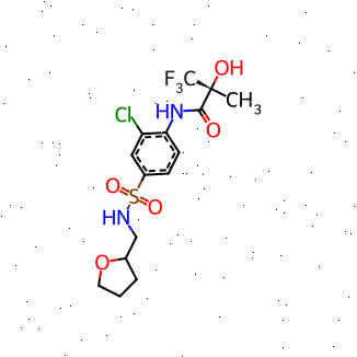 C[C@@](O)(C(=O)Nc1ccc(S(=O)(=O)NCC2CCCO2)cc1Cl)C(F)(F)F